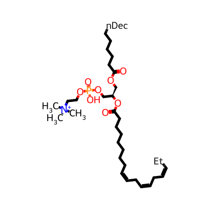 CC/C=C\C/C=C\C/C=C\CCCCCCCC(=O)O[C@H](COC(=O)CCCCCCCCCCCCCCC)COP(=O)(O)OCC[N+](C)(C)C